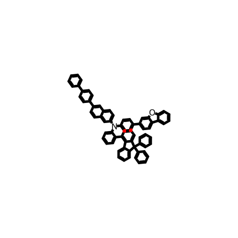 c1ccc(-c2ccc(-c3ccc4cc(N(c5ccc(-c6ccc7c(c6)oc6ccccc67)cc5)c5ccccc5-c5cccc6c5-c5ccccc5C6(c5ccccc5)c5ccccc5)ccc4c3)cc2)cc1